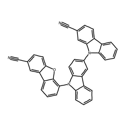 N#Cc1ccc2oc3c(-n4c5ccccc5c5cc(-n6c7ccccc7c7ccc(C#N)cc76)ccc54)cccc3c2c1